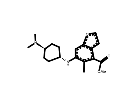 COC(=O)c1c(C)c(N[C@H]2CC[C@H](N(C)C)CC2)cc2occc12